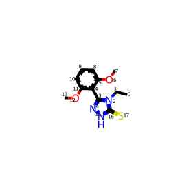 CCn1c(-c2c(OC)cccc2OC)n[nH]c1=S